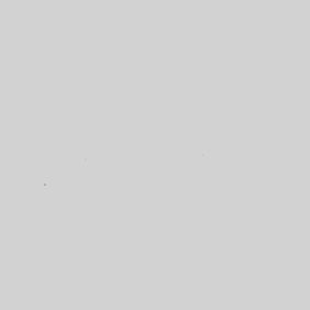 CCC(OP(=O)(O)O)C1CCC(c2ccccc2)(c2ccccc2)CC1